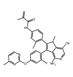 C=C(C)C(=O)Nc1ccc(-c2c(-c3ccc(Oc4nccc(C)n4)cc3F)c3c(N)ncc(C#N)c3n2C)c(F)c1